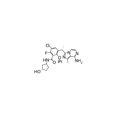 Cc1nc([C@@H](C)c2cc(Cl)c(F)c(C(=O)NC3CC[C@H](O)C3)c2OC(C)C)n2ccnc(N)c12